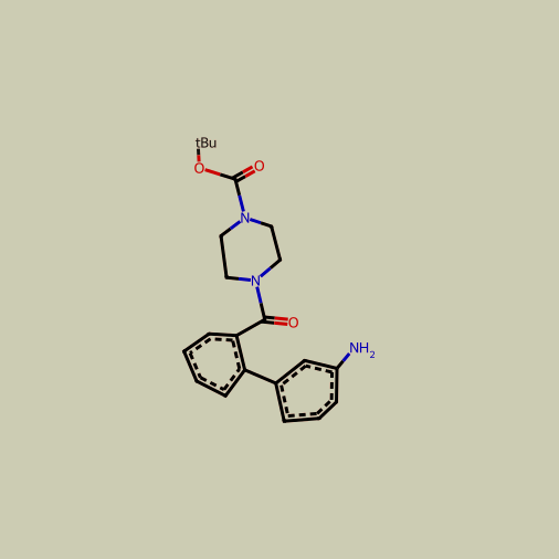 CC(C)(C)OC(=O)N1CCN(C(=O)c2ccccc2-c2cccc(N)c2)CC1